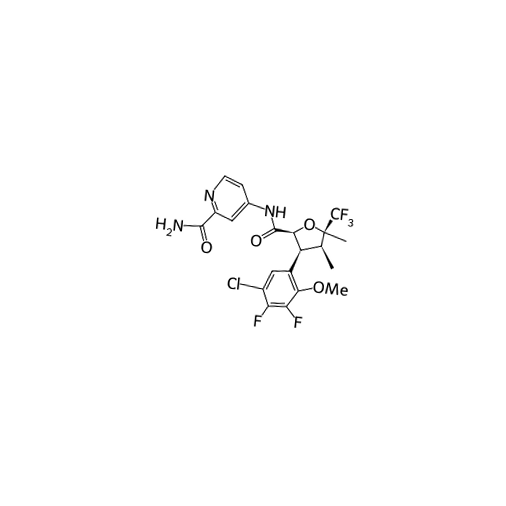 COc1c([C@H]2[C@@H](C(=O)Nc3ccnc(C(N)=O)c3)O[C@@](C)(C(F)(F)F)[C@H]2C)cc(Cl)c(F)c1F